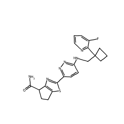 NC(=O)C1CCc2sc(-c3ccc(NCC4(c5ncccc5F)CCC4)nn3)nc21